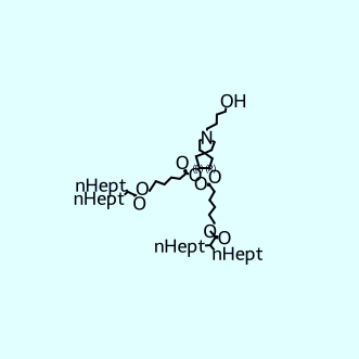 CCCCCCCC(CCCCCCC)C(=O)OCCCCCC(=O)O[C@@H]1CC2(CCN(CCCCO)CC2)C[C@H]1OC(=O)CCCCCOC(=O)C(CCCCCCC)CCCCCCC